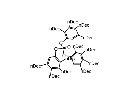 CCCCCCCCCCc1cc(OP(=O)(Oc2cc(CCCCCCCCCC)c(CCCCCCCCCC)c(CCCCCCCCCC)c2CCCCCCCCCC)Oc2cc(CCCCCCCCCC)c(CCCCCCCCCC)c(CCCCCCCCCC)c2CCCCCCCCCC)c(CCCCCCCCCC)c(CCCCCCCCCC)c1CCCCCCCCCC